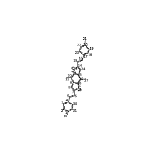 Cc1ccc(C=Cc2cc3c(C)c4sc(C=Cc5ccc(C)cc5)cc4c(C)c3s2)cc1